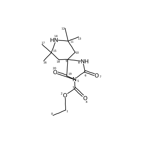 CCOC(=O)N1C(=O)NC2(CC(C)(C)NC(C)(C)C2)C1=O